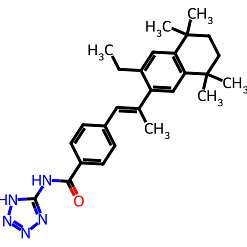 CCc1cc2c(cc1C(C)=Cc1ccc(C(=O)Nc3nnn[nH]3)cc1)C(C)(C)CCC2(C)C